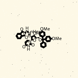 CCCCCCN(NN1C(=O)c2ccccc2C1=O)O[C@@H]1[C@H](O)[C@@H](COC(c2ccccc2)(c2ccc(OC)cc2)c2ccc(OC)cc2)O[C@H]1n1ccc(=O)[nH]c1=O